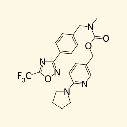 CN(Cc1ccc(-c2noc(C(F)(F)F)n2)cc1)C(=O)OCc1ccc(N2CCCC2)nc1